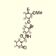 COc1cc(OCc2ccc(NC(=O)Cc3ccccc3Cl)cc2Br)ccc1F